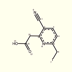 N#Cc1ccc(CI)nc1CC(=O)O